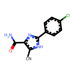 N#Cc1[nH]c(-c2ccc(Cl)cc2)nc1C(N)=O